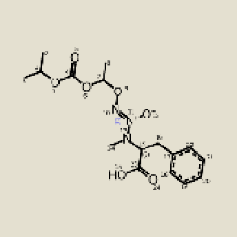 CC(C)OC(=O)OC(C)O/N=[N+](\[O-])N(C)[C@@H](Cc1ccccc1)C(=O)O